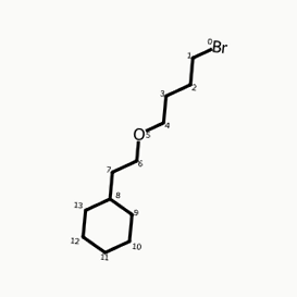 BrCCCCOCCC1CCCCC1